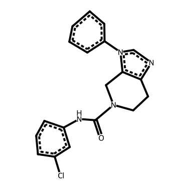 O=C(Nc1cccc(Cl)c1)N1CCc2ncn(-c3ccccc3)c2C1